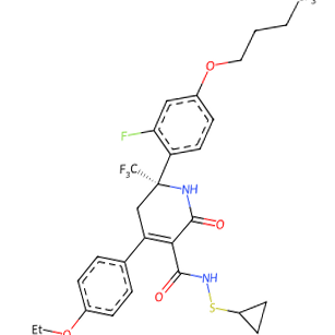 CCOc1ccc(C2=C(C(=O)NSC3CC3)C(=O)N[C@@](c3ccc(OCCCC(F)(F)F)cc3F)(C(F)(F)F)C2)cc1